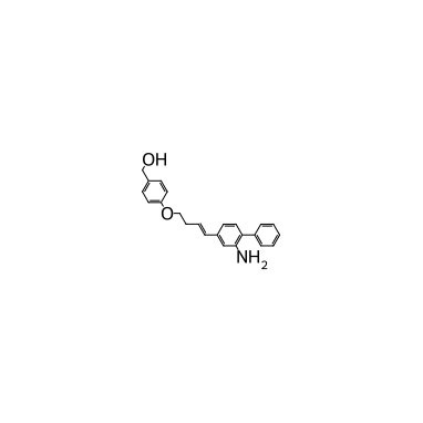 Nc1cc(C=CCCOc2ccc(CO)cc2)ccc1-c1ccccc1